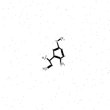 [CH2]C(C=C)c1cc(OC(F)(F)F)ccc1[N+](=O)[O-]